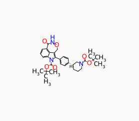 CC(C)(C)OC(=O)N1CCC[C@H](c2ccc(-c3c4c5c(cccc5n3C(=O)OC(C)(C)C)C(=O)NOC4)cc2)C1